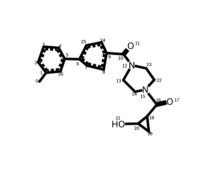 Cc1cccc(-c2ccc(C(=O)N3CCN(C(=O)C4CC4O)CC3)cc2)c1